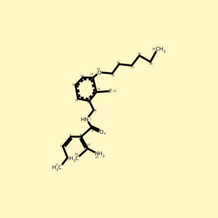 CC/C=C\C(C(=O)NCc1cccc(OCCCCCC)c1F)=C(/C)N